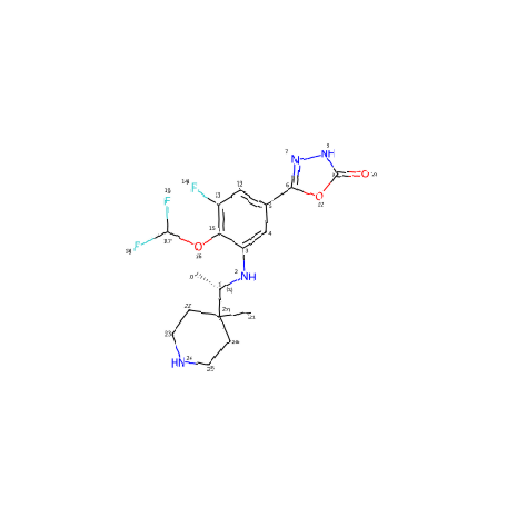 C[C@H](Nc1cc(-c2n[nH]c(=O)o2)cc(F)c1OC(F)F)C1(C)CCNCC1